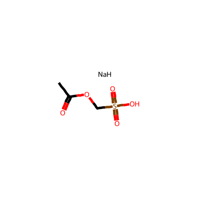 CC(=O)OCS(=O)(=O)O.[NaH]